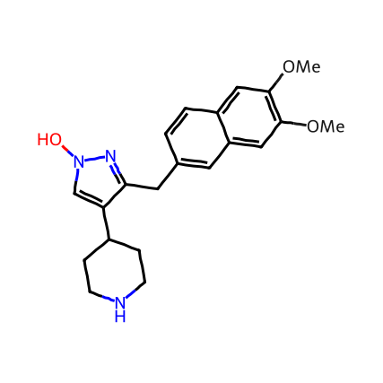 COc1cc2ccc(Cc3nn(O)cc3C3CCNCC3)cc2cc1OC